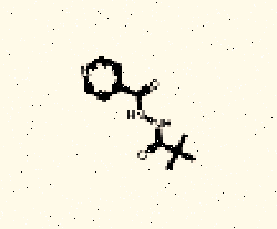 CC(C)(C)C(=O)NNC(=O)c1ccncc1